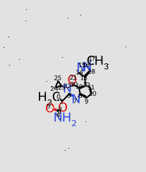 CC(OC(N)=O)c1nc2cccc(-c3cnn(C)c3)c2c(=O)n1C1CC1